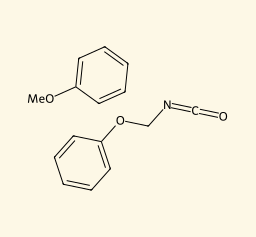 COc1ccccc1.O=C=NCOc1ccccc1